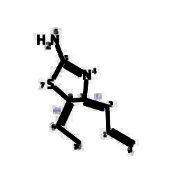 C=C/C=c1/nc(N)s/c1=C/C